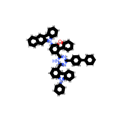 c1ccc(-c2ccc(C3=NC(c4ccc(-n5c6ccccc6c6cc7ccccc7cc65)c5oc6ccccc6c45)NC(c4cccc5c4c4ccccc4n5-c4ccccc4)=N3)cc2)cc1